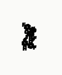 Cc1onc(-c2ccc(F)cc2)c1C(=O)NCCCN1CCNC(c2ccc(F)cc2OCC(F)(F)F)C1